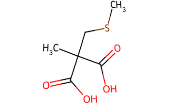 CSCC(C)(C(=O)O)C(=O)O